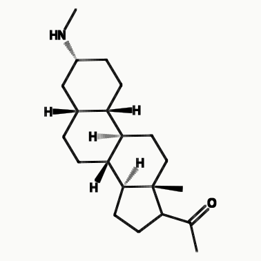 CN[C@@H]1CC[C@H]2[C@H](CC[C@@H]3[C@@H]2CC[C@]2(C)C(C(C)=O)CC[C@@H]32)C1